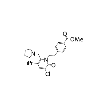 COC(=O)c1ccc(CCn2c(CN3CCCC3)c(C(C)C)cc(Cl)c2=O)cc1